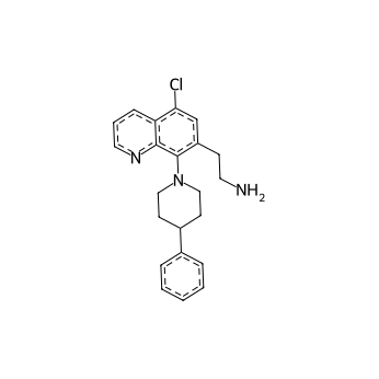 NCCc1cc(Cl)c2cccnc2c1N1CCC(c2ccccc2)CC1